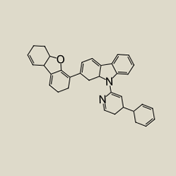 C1=CCC(C2C=C(N3c4ccccc4C4=CC=C(C5=C6OC7CCC=CC7C6=CCC5)CC43)N=CC2)C=C1